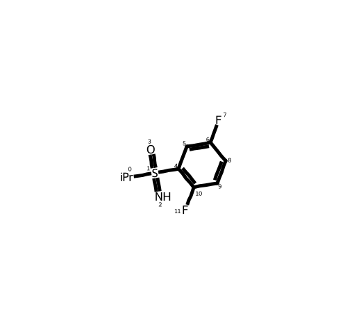 CC(C)S(=N)(=O)c1cc(F)ccc1F